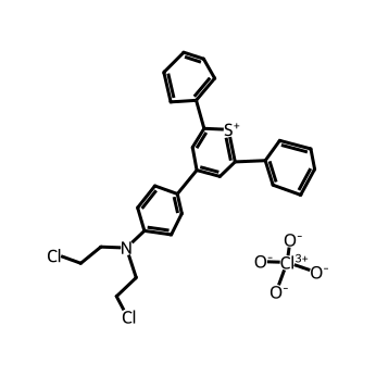 ClCCN(CCCl)c1ccc(-c2cc(-c3ccccc3)[s+]c(-c3ccccc3)c2)cc1.[O-][Cl+3]([O-])([O-])[O-]